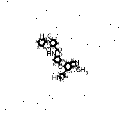 Cc1ccc(C(=O)Nc2ccc(Oc3cc4cnn(C)c4cc3-c3cn[nH]c3)cc2)c(=O)n1-c1ccccc1